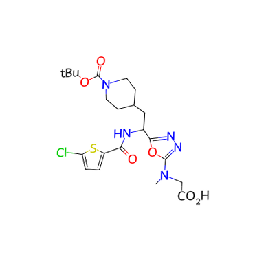 CN(CC(=O)O)c1nnc(C(CC2CCN(C(=O)OC(C)(C)C)CC2)NC(=O)c2ccc(Cl)s2)o1